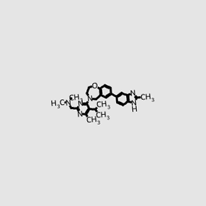 Cc1nc2cc(-c3ccc4c(c3)CN(c3nc(CN(C)C)nc(C)c3C(C)C)CCO4)ccc2[nH]1